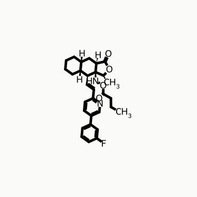 CCCC(=O)ON[C@]12[C@@H](C)OC(=O)[C@@H]1C[C@H]1CCCC[C@H]1[C@@H]2/C=C/c1ccc(-c2cccc(F)c2)cn1